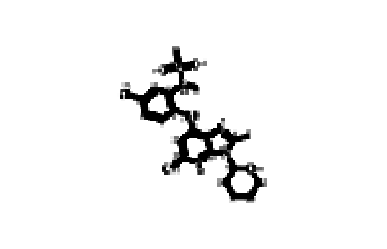 Cc1nc2c(Nc3ccc(Cl)cc3N(C)S(C)(=O)=O)cc(Cl)nc2n1C1CCCCO1